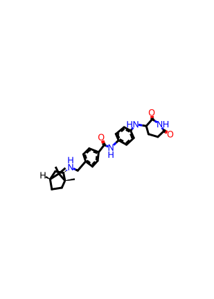 CC1(C)[C@@H]2CC[C@@]1(C)[C@@H](NCc1ccc(C(=O)Nc3ccc(NC4CCC(=O)NC4=O)cc3)cc1)C2